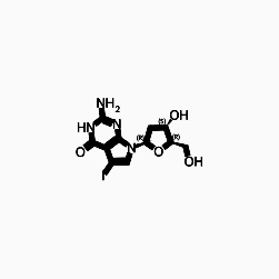 Nc1nc2c(c(I)cn2[C@H]2C[C@H](O)[C@@H](CO)O2)c(=O)[nH]1